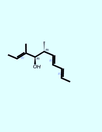 C/C=C/C=C/[C@@H](C)[C@@H](O)/C(C)=C/C